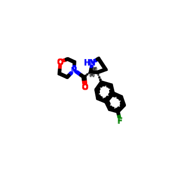 O=C([C@@H]1NCC[C@@H]1c1ccc2cc(F)ccc2c1)N1CCOCC1